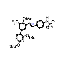 COc1c(/C=C/c2ccc(NS(C)(=O)=O)cc2)cc(-c2cnc(OC(C)(C)C)nc2OC(C)(C)C)cc1C(F)(F)F